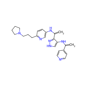 C=C(Nc1c[nH]nc1C(=C)Nc1ccc(CCCN2CCCC2)nc1)c1ccncc1